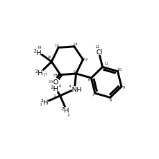 [2H]C([2H])([2H])NC1(c2ccccc2Cl)CCCC([2H])([2H])C1=O